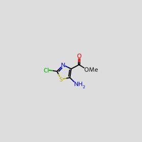 COC(=O)c1nc(Cl)sc1N